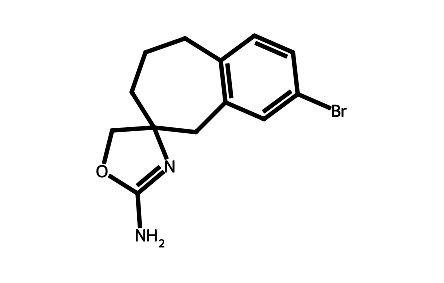 NC1=NC2(CCCc3ccc(Br)cc3C2)CO1